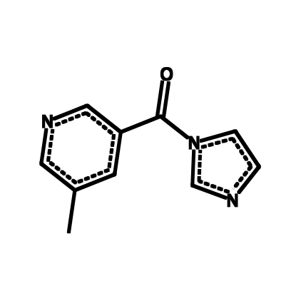 Cc1cncc(C(=O)n2ccnc2)c1